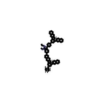 C=C/C=c1\c(=C/C)c2cc(-c3ccc4cc5c6cc(-c7ncncn7)cc7c8cc9ccccc9cc8n(c5cc4c3)c76)ccc2n1-c1ccc(-c2cc3c4cc5ccccc5cc4n4c5cc6ccccc6cc5c(c2)c34)cc1